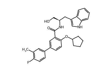 Cc1cc(-c2ccc(OC3CCCC3)c(C(=O)N[C@@H](CO)Cc3c[nH]c4ccccc34)c2)ccc1F